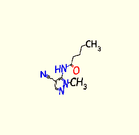 CCCCC(=O)Nc1c(C#N)cnn1C